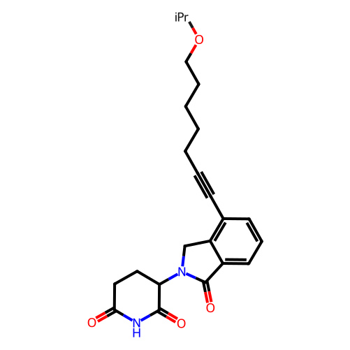 CC(C)OCCCCCC#Cc1cccc2c1CN(C1CCC(=O)NC1=O)C2=O